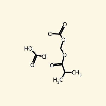 CC(C)C(=O)OCOC(=O)Cl.O=C(O)Cl